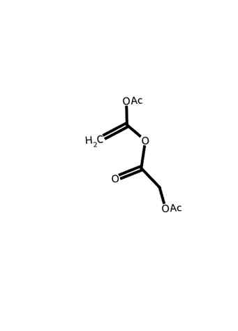 C=C(OC(C)=O)OC(=O)COC(C)=O